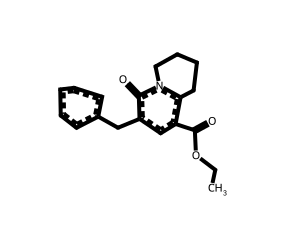 CCOC(=O)c1cc(Cc2ccccc2)c(=O)n2c1CCCC2